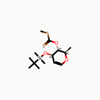 CSC(=S)O[C@@H]1[C@@H](C)OC=C[C@H]1O[Si](C)(C)C(C)(C)C